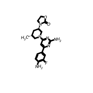 C[C@@H]1C[C@@H](N2CCOC2=O)CN(c2cc(-c3ccc(N)c(F)c3)nc(N)n2)C1